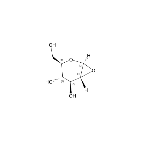 OC[C@H]1O[C@H]2O[C@@H]2[C@@H](O)[C@@H]1O